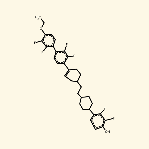 CCOc1ccc(-c2ccc(C3=CCC(CCC4CCC(c5ccc(O)c(F)c5F)CC4)CC3)c(F)c2F)c(F)c1F